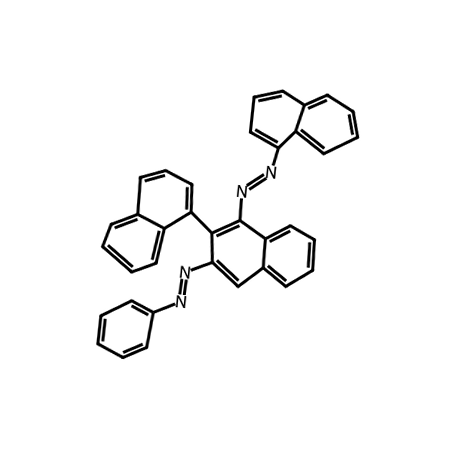 c1ccc(N=Nc2cc3ccccc3c(N=Nc3cccc4ccccc34)c2-c2cccc3ccccc23)cc1